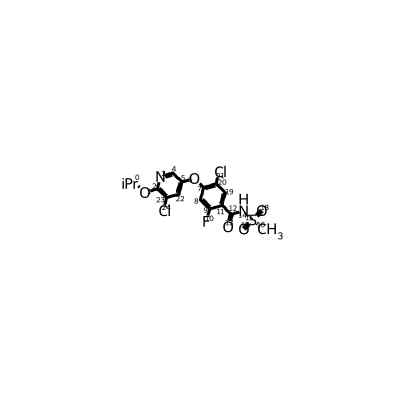 CC(C)Oc1ncc(Oc2cc(F)c(C(=O)NS(C)(=O)=O)cc2Cl)cc1Cl